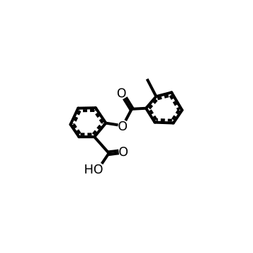 Cc1ccccc1C(=O)Oc1ccccc1C(=O)O